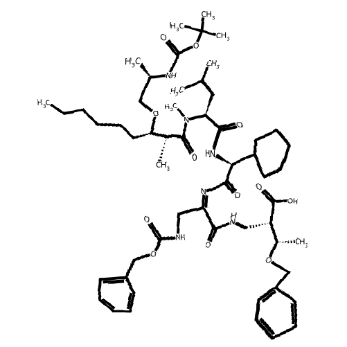 CCCCCC[C@@H](OC[C@@H](C)NC(=O)OC(C)(C)C)[C@@H](C)C(=O)N(C)[C@@H](CC(C)C)C(=O)N[C@H](C(=O)/N=C(/CNC(=O)OCc1ccccc1)C(=O)NC[C@H](C(=O)O)[C@H](C)OCc1ccccc1)C1CCCCC1